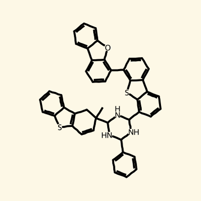 CC1(C2NC(c3ccccc3)NC(c3cccc4c3sc3c(-c5cccc6c5oc5ccccc56)cccc34)N2)C=Cc2sc3ccccc3c2C1